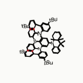 CC(C)(C)c1ccc(N2c3cc(C(C)(C)C)ccc3B3c4ccc(C(C)(C)C)cc4N(c4ccc(C(C)(C)C)cc4-c4ccccc4)c4cc(N5c6ccccc6C(C)(C)C6(C)CCCCC56C)cc2c43)c(-c2ccccc2)c1